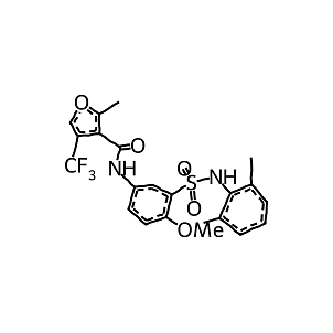 COc1ccc(NC(=O)c2c(C(F)(F)F)coc2C)cc1S(=O)(=O)Nc1c(C)cccc1C